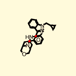 O=C(NC1CC2COCC(C1)N2Cc1cccc(F)c1)c1nn(CC2CC2)c2ccccc12